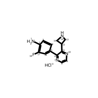 Cl.Nc1ccc(-c2nccnc2C2CNC2)cc1F